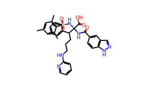 Cc1cc(C)c(S(=O)(=O)N[C@](NC(=O)c2ccc3[nH]ncc3c2)(C(=O)O)C(CCCNc2ccccn2)c2ccccc2)c(C)c1